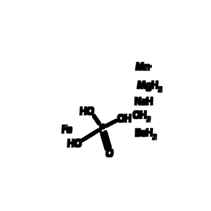 O.O=P(O)(O)O.[BeH2].[Fe].[MgH2].[Mn].[NaH]